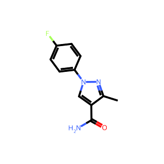 Cc1nn(-c2ccc(F)cc2)cc1C(N)=O